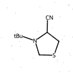 CC(C)(C)N1CSCC1C#N